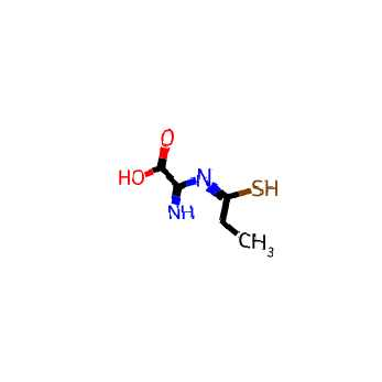 CC/C(S)=N\C(=N)C(=O)O